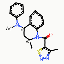 CC(=O)N(c1ccccc1)[C@@H]1C[C@H](C)N(C(=O)c2snnc2C)c2ccccc21